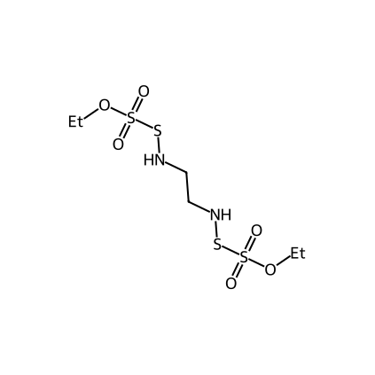 CCOS(=O)(=O)SNCCNSS(=O)(=O)OCC